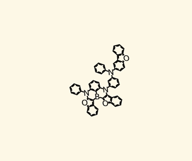 c1ccc(N(c2cccc(N3c4cccc5c4B(c4oc6ccccc6c43)c3c(oc4ccccc34)N5c3ccccc3)c2)c2ccc3oc4ccccc4c3c2)cc1